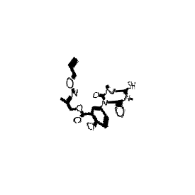 C=CCON=C(C)COC(=O)c1cc(N2C(=O)N(C)C(S)N(C)C2=O)ccc1Cl